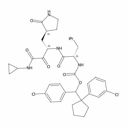 CC(C)C[C@H](NC(=O)OC(c1ccc(Cl)cc1)C1(c2cccc(Cl)c2)CCCC1)C(=O)N[C@@H](C[C@@H]1CCNC1=O)C(=O)C(=O)NC1CC1